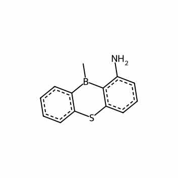 CB1c2ccccc2Sc2cccc(N)c21